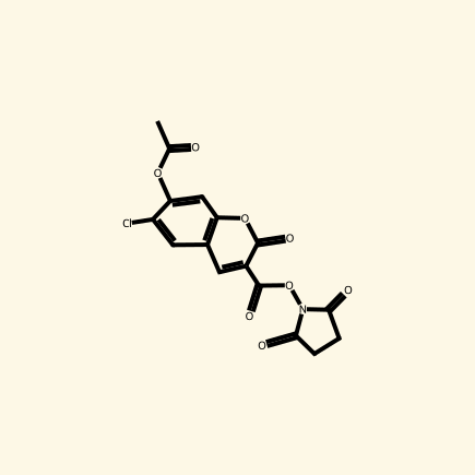 CC(=O)Oc1cc2oc(=O)c(C(=O)ON3C(=O)CCC3=O)cc2cc1Cl